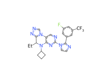 CCC1c2nncn2-c2cnc(-n3ccnc3-c3cc(F)cc(C(F)(F)F)c3)nc2N1C1CCC1